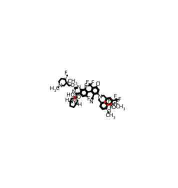 COc1ccc(CN(Cc2ccc(OC)c(C(F)(F)F)c2)c2cc(Cl)c(C(F)(F)F)c(-c3c(F)cc4c(N5C[C@H]6CC[C@@H](C5)N6C(=O)O)nc(OC[C@]5(C)CN(C)CC[C@@H]5CF)nc4c3F)c2C#N)cc1C(F)(F)F